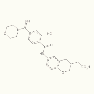 Cl.N=C(c1ccc(C(=O)Nc2ccc3c(c2)CC(CC(=O)O)CO3)cc1)N1CCOCC1